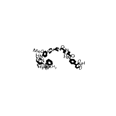 COc1cc(N2CCN(C3CN(C(=O)c4cnc(C(=O)Nc5ccc(C6CCC(=O)NC6=O)cc5)cn4)C3)CC2)ccc1Nc1ncc(Cl)c(Nc2ccccc2P(C)(C)=O)n1